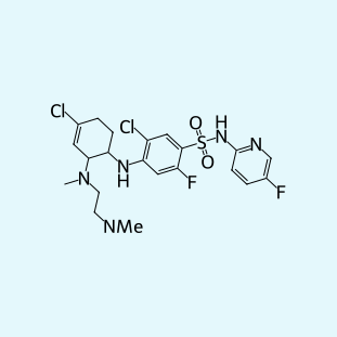 CNCCN(C)C1C=C(Cl)CCC1Nc1cc(F)c(S(=O)(=O)Nc2ccc(F)cn2)cc1Cl